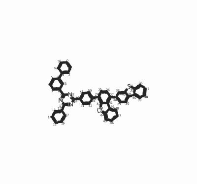 c1ccc(-c2cccc(-c3nc(-c4ccccc4)nc(-c4ccc(-c5ccc(-c6ccc7c(c6)sc6ccccc67)c6c5oc5ccccc56)cc4)n3)c2)cc1